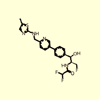 Cc1cnc(NCc2ccc(-c3ccc([C@@H](O)[C@@H](CF)NC(=O)C(F)F)cc3)cn2)s1